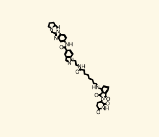 CC1CCCN1Cc1nc2cc(NC(=O)c3ccc4c(cnn4CCNC(=O)CCCCCCCNc4cccc5c4C(=O)N(C4CCC(=O)NC4=O)C5=O)c3)ccc2[nH]1